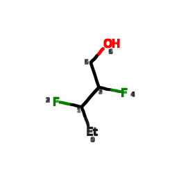 CCC(F)C(F)CO